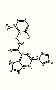 O=C(NCc1c(F)cccc1C(F)(F)F)c1nc(-n2ccnc2)nc2cc[nH]c12